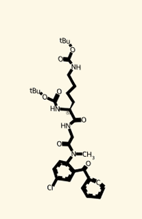 CN(C(=O)CNC(=O)[C@H](CCCCNC(=O)OC(C)(C)C)NC(=O)OC(C)(C)C)c1ccc(Cl)cc1C(=O)c1ccccc1